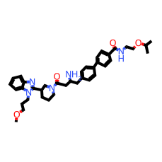 COCCCn1c(C2CCCN(C(=O)CC(N)Cc3ccc(-c4ccc(C(=O)NCCOC(C)C)cc4)cc3)C2)nc2ccccc21